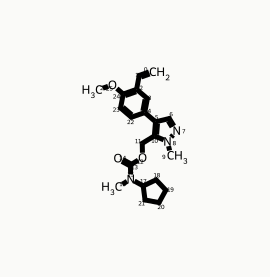 C=Cc1cc(-c2cnn(C)c2COC(=O)N(C)C2CCCC2)ccc1OC